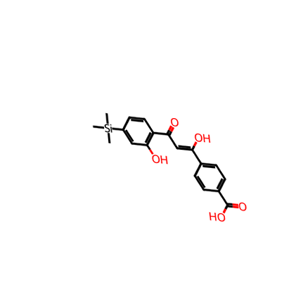 C[Si](C)(C)c1ccc(C(=O)C=C(O)c2ccc(C(=O)O)cc2)c(O)c1